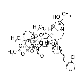 CC[C@]1(O)C[C@H]2CN(CCc3c([nH]c4ccc(SCc5ccccc5Cl)cc34)[C@@](C(=O)OC)(C3C=C4C(=CC3OC)N(C=O)[C@@]35O[C@]3(C(=O)OC)[C@H](OC(C)=O)[C@]3(CC)C=CCN6CC[C@]45[C@@H]63)C2)C1